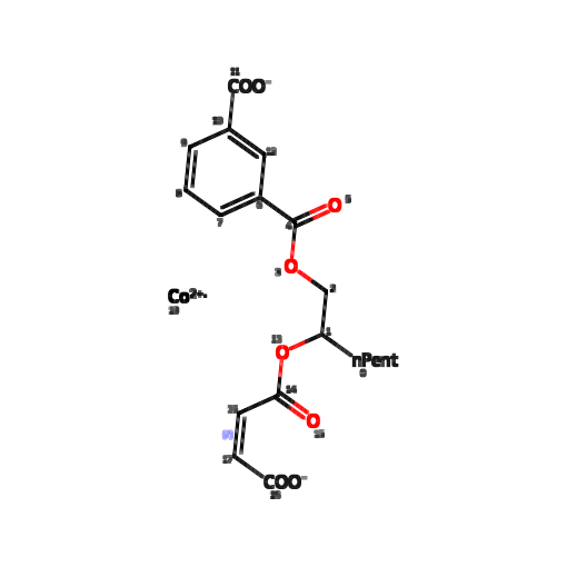 CCCCCC(COC(=O)c1cccc(C(=O)[O-])c1)OC(=O)/C=C\C(=O)[O-].[Co+2]